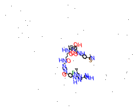 Cc1ncsc1-c1ccc(CNC(=O)[C@@H]2C[C@@H](O)CN2C(=O)[C@@H](NC(=O)CCCC(=O)NCCN2CCN(C(=O)c3ccc(Nc4nc(C5CC5)cn5c(-c6cn[nH]c6)cnc45)c(F)c3)CC2)C(C)(C)C)cc1